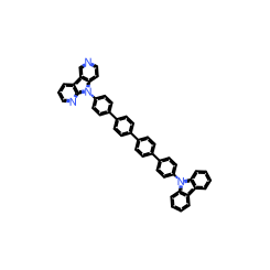 c1ccc2c(c1)c1ccccc1n2-c1ccc(-c2ccc(-c3ccc(-c4ccc(-n5c6ccncc6c6cccnc65)cc4)cc3)cc2)cc1